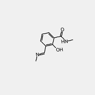 CN=Cc1cccc(C(=O)NC)c1O